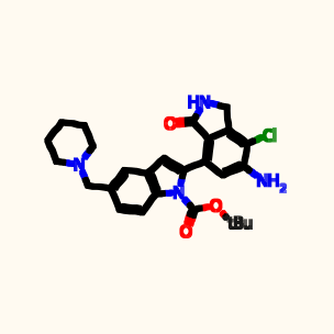 CC(C)(C)OC(=O)n1c(-c2cc(N)c(Cl)c3c2C(=O)NC3)cc2cc(CN3CCCCC3)ccc21